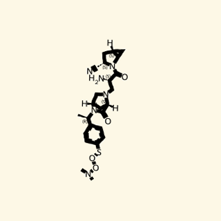 C[C@H](c1ccc(SOON(C)C)cc1)N1C(=O)[C@@H]2C[C@H]1CN2C[C@H](N)C(=O)N1C2C[C@H]2C[C@H]1C#N